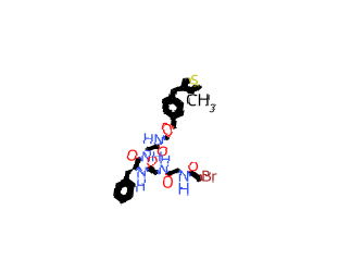 Cc1cscc1Cc1ccc(COCNC(=O)CNC(=O)[C@H](Cc2ccccc2)NC(=O)CNC(=O)CNC(=O)CBr)cc1